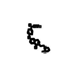 COC(=O)c1ccc(Oc2ccc3c(c2)CCN(CCN2CCC[C@H]2C)C3=O)cc1